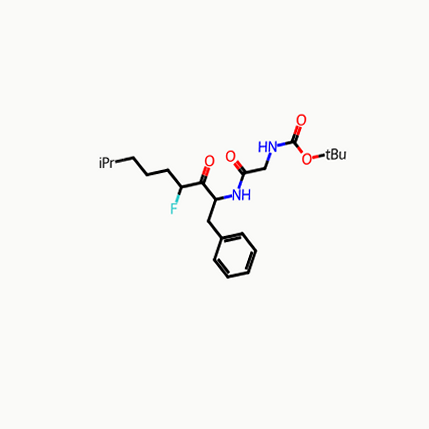 CC(C)CCCC(F)C(=O)C(Cc1ccccc1)NC(=O)CNC(=O)OC(C)(C)C